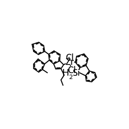 CCCC1=Cc2c(ccc(-c3ccccc3)c2-c2ccccc2C)[CH]1[Zr]([Cl])([Cl])[c]1cccc2c1[SiH2]c1ccccc1-2